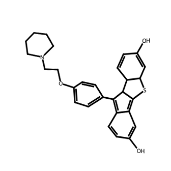 OC1=CC2SC3=c4cc(O)ccc4=C(c4ccc(OCCN5CCCCC5)cc4)C3C2C=C1